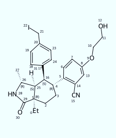 CC[C@@]12CC[C@@H](c3ccc(OCCO)cc3C#N)[C@H](c3ccc(CI)cc3)[C@@H]1[C@@H](C)NC2=O